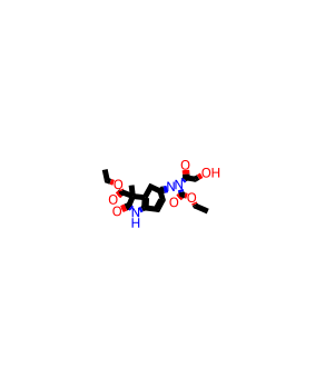 CCOC(=O)N(N=C1C=CC2=C(C1)C(C)(C(=O)OCC)C(=O)N2)C(=O)CO